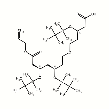 C=CCOC(=O)C[C@@H](C[C@@H](CCOCC[C@H](CC(=O)O)O[Si](C)(C)C(C)(C)C)O[Si](C)(C)C(C)(C)C)O[Si](C)(C)C(C)(C)C